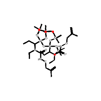 C=C(C)CONC(=O)N(CC)C(CC)[Si](O[Si](C)(C)C)(O[Si](C)(C)C)O[Si](O[Si](C)(C)C)(O[Si](C)(C)C)C(CC)N(CC)C(=O)NOCC(=C)C